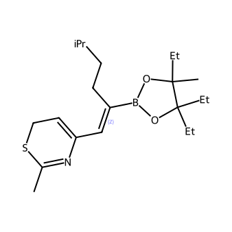 CCC1(C)OB(/C(=C/C2=CCSC(C)=N2)CCC(C)C)OC1(CC)CC